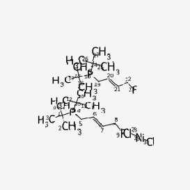 CC(C)(C)P(CC=CCF)C(C)(C)C.CC(C)(C)P(CC=CCF)C(C)(C)C.[Cl][Ni][Cl]